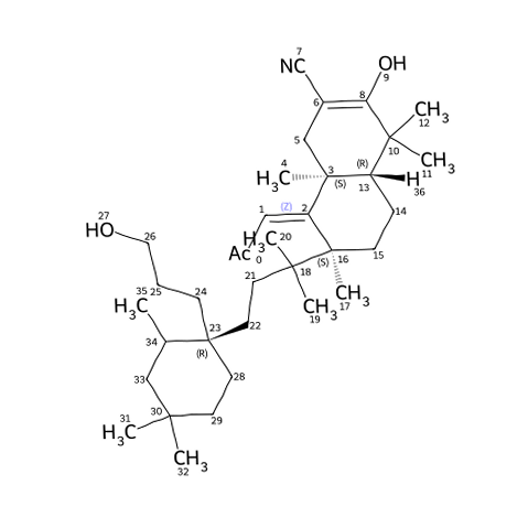 CC(=O)/C=C1/[C@@]2(C)CC(C#N)=C(O)C(C)(C)[C@@H]2CC[C@@]1(C)C(C)(C)CC[C@@]1(CCCO)CCC(C)(C)CC1C